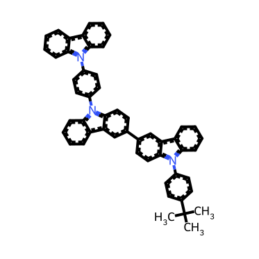 CC(C)(C)c1ccc(-n2c3ccccc3c3cc(-c4ccc5c(c4)c4ccccc4n5-c4ccc(-n5c6ccccc6c6ccccc65)cc4)ccc32)cc1